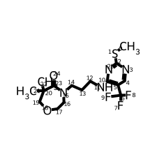 CSc1ncc(C(F)(F)F)c(NCCCN2CCOCC(C)(C)C2=O)n1